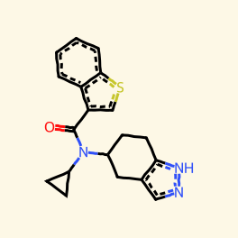 O=C(c1csc2ccccc12)N(C1CC1)C1CCc2[nH]ncc2C1